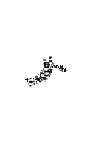 CC(C)C1=C2[C@H]3CCC4[C@@]5(C)CC[C@H](OC(=O)CC(C)(C)C(=O)O)C(C)(C)C5CC[C@@]4(C)[C@]3(C)CC[C@@]2(CCNCCO)CC1=O